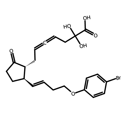 O=C1CC[C@H](/C=C/CCOc2ccc(Br)cc2)[C@H]1CC=C=CCC(O)(O)C(=O)O